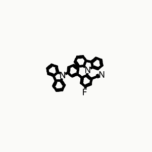 N#Cc1cc(F)cc(-c2cccc(-n3c4ccccc4c4ccccc43)c2)c1N1c2ccccc2C2C=CC=CC21